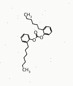 CCCCCCCc1ccccc1OC(=O)Oc1ccccc1CCCCCC